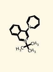 CC(C)(C)[n+]1cc(N2C=CC=CC=C2)c2ccccc2c1